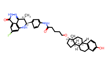 C[C@H]1c2n[nH]c(=O)c3cc(F)cc(c23)N[C@@H]1c1ccc(NC(=O)CCCCO[C@H]2CC[C@H]3[C@@H]4CCc5cc(O)ccc5[C@H]4CC[C@]23C)cc1